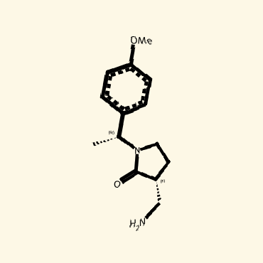 COc1ccc([C@@H](C)N2CC[C@H](CN)C2=O)cc1